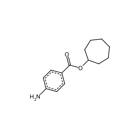 Nc1ccc(C(=O)OC2CCCCCC2)cc1